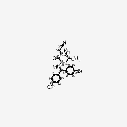 CC(C)C[C@H](N[C@H](c1ccc(Cl)cc1)c1ccc(Br)cc1)C(=O)NCC#N